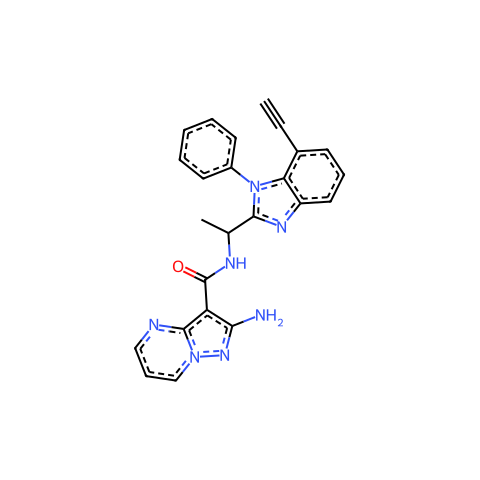 C#Cc1cccc2nc(C(C)NC(=O)c3c(N)nn4cccnc34)n(-c3ccccc3)c12